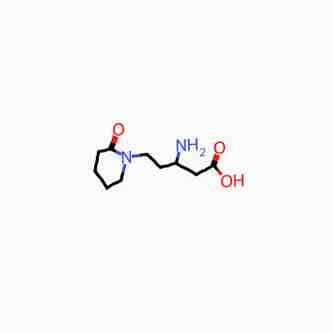 NC(CCN1CCCCC1=O)CC(=O)O